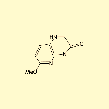 COc1ccc2c(n1)[N]C(=O)CN2